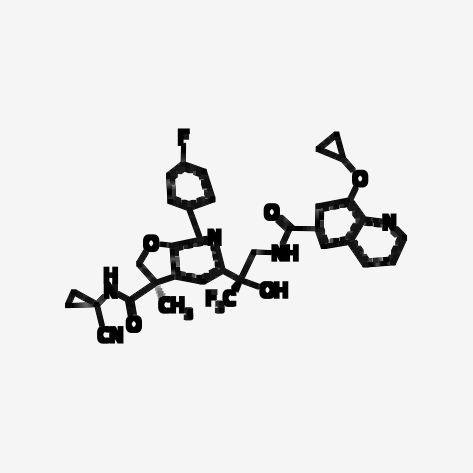 C[C@]1(C(=O)NC2(C#N)CC2)COc2c1cc([C@@](O)(CNC(=O)c1cc(OC3CC3)c3ncccc3c1)C(F)(F)F)nc2-c1ccc(F)cc1